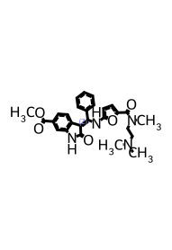 COC(=O)c1ccc2c(c1)NC(=O)/C2=C(\Nc1ccc(C(=O)N(C)CCN(C)C)o1)c1ccccc1